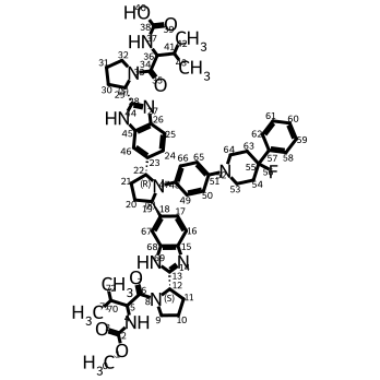 COC(=O)NC(C(=O)N1CCC[C@H]1c1nc2ccc([C@H]3CC[C@H](c4ccc5nc([C@@H]6CCCN6C(=O)C(NC(=O)O)C(C)C)[nH]c5c4)N3c3ccc(N4CCC(F)(c5ccccc5)CC4)cc3)cc2[nH]1)C(C)C